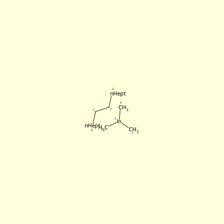 CCCCCCCCCCCCCCCC.[CH3][In]([CH3])[CH3]